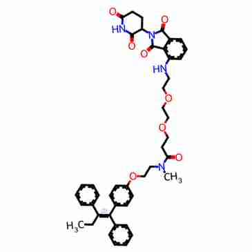 CC/C(=C(\c1ccccc1)c1ccc(OCCN(C)C(=O)CCOCCOCCNc2cccc3c2C(=O)N(C2CCC(=O)NC2=O)C3=O)cc1)c1ccccc1